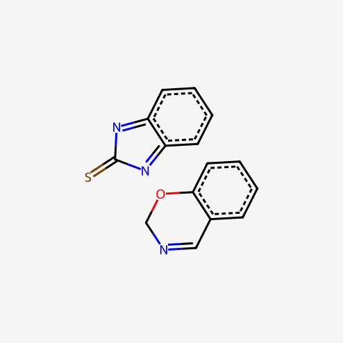 C1=NCOc2ccccc21.S=C1N=c2ccccc2=N1